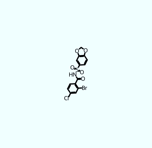 O=C(NS(=O)(=O)c1ccc2c(c1)OCO2)c1ccc(Cl)cc1Br